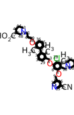 Cc1c(COc2cc(OCc3cncc(C#N)c3)c(CN3CCCC[C@H]3C)cc2Cl)cccc1-c1cccc(OCCCN2CCC[C@@H](C(=O)O)C2)c1C